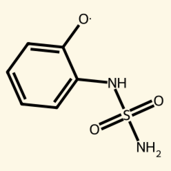 NS(=O)(=O)Nc1ccccc1[O]